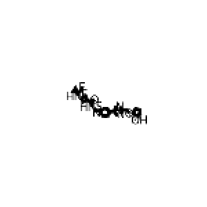 O=C(Nc1nc2ccc(-c3cnc(CO[C@H]4CCC[C@@H]4O)nc3)cc2s1)C1CC(NC2(C(F)F)CC2)C1